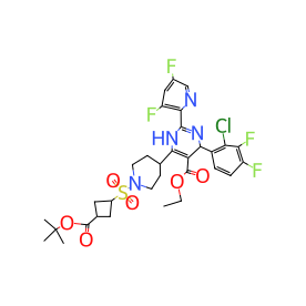 CCOC(=O)C1=C(C2CCN(S(=O)(=O)C3CC(C(=O)OC(C)(C)C)C3)CC2)NC(c2ncc(F)cc2F)=NC1c1ccc(F)c(F)c1Cl